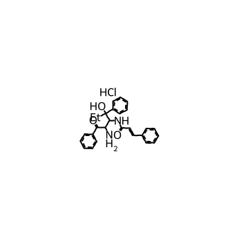 CCC(O)(c1ccccc1)C(NC(=O)C=Cc1ccccc1)C(N)C(=O)c1ccccc1.Cl